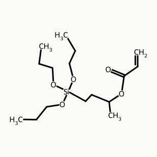 C=CC(=O)OC(C)CC[Si](OCCC)(OCCC)OCCC